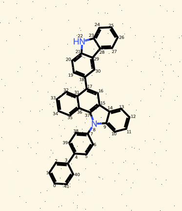 c1ccc(-c2ccc(-n3c4ccccc4c4cc(-c5ccc6[nH]c7ccccc7c6c5)c5ccccc5c43)cc2)cc1